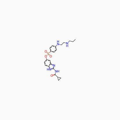 CCCNCCNc1ccc(S(=O)(=O)Oc2ccc3[nH]c(NC(=O)C4CC4)nc3c2)cc1